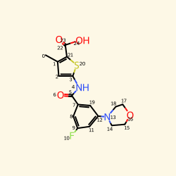 Cc1cc(NC(=O)c2cc(F)cc(N3CCOCC3)c2)sc1C(=O)O